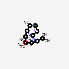 N#Cc1cc(C#N)cc(-c2ccc3c4ccc(-c5cc(C#N)cc(C#N)c5)cc4n(-c4cc(-c5cccc(-c6ccccc6)n5)cc(-n5c6cc(-c7cc(C#N)cc(C#N)c7)ccc6c6ccc(-c7cc(C#N)cc(C#N)c7)cc65)c4C#N)c3c2)c1